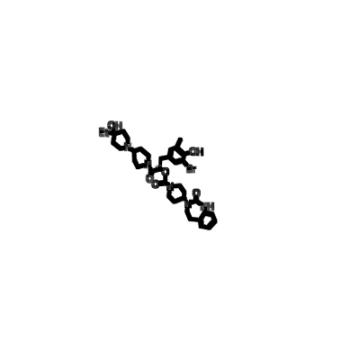 CCC1(O)CCN(C2CCN(C(=O)[C@@H](Cc3cc(C)c(O)c(Br)c3)OC(=O)N3CCC(N4CCc5ccccc5NC4=O)CC3)CC2)CC1